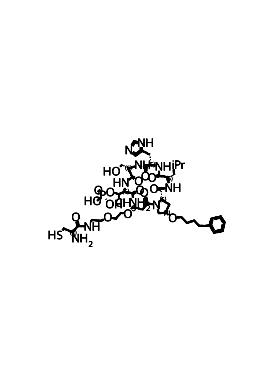 CC(C)C[C@H](NC(=O)[C@@H]1C[C@@H](OCCCCc2ccccc2)CN1C(=O)CCOCCOCCNC(=O)[C@@H](N)CS)C(=O)N[C@@H](Cc1cnc[nH]1)C(=O)N[C@@H](CO)C(=O)N[C@H](C(N)=O)C(C)OP(=O)(O)O